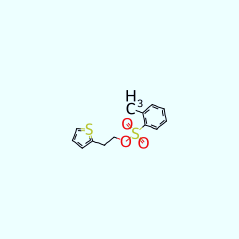 Cc1ccccc1S(=O)(=O)OCCc1cccs1